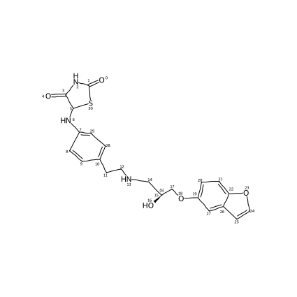 O=C1NC(=O)C(Nc2ccc(CCNC[C@H](O)COc3ccc4occc4c3)cc2)S1